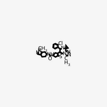 Cc1nnc2n1-c1sc3c(c1C(c1ccccc1Cl)=NC21CC1)C[C@H](C(=O)NC1CCc2cnn(C)c2C1)C3